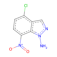 Nn1ncc2c(Cl)ccc([N+](=O)[O-])c21